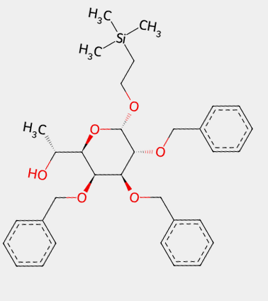 C[C@@H](O)[C@H]1O[C@H](OCC[Si](C)(C)C)[C@H](OCc2ccccc2)[C@@H](OCc2ccccc2)[C@H]1OCc1ccccc1